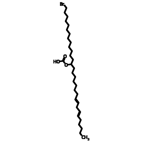 CCCCCC=CCC=CCCCCCCCC(CCCCCCCCCCCCCBr)OC(=O)O